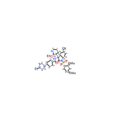 CCOc1ncccc1C1(NC(=O)c2ccc(N3CCN(CC)CC3)cc2)C(=O)N(S(=O)(=O)c2ccc(OC)cc2OC)c2ccc(C#N)cc21